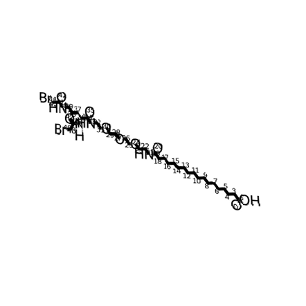 O=C(O)CCCCCCCCCCCCCCCCC(=O)NCCOCCOCCOCCNC(=O)[C@H](CCCNC(=O)CBr)NC(=O)CBr